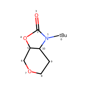 CC(C)(C)N1C(=O)OC2COCCC21